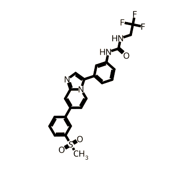 CS(=O)(=O)c1cccc(-c2ccn3c(-c4cccc(NC(=O)NCC(F)(F)F)c4)cnc3c2)c1